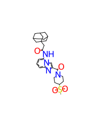 CS(=O)(=O)C1CCN(C(=O)c2cn3c(NC(=O)CC45CC6CC(CC(C6)C4)C5)cccc3n2)CC1